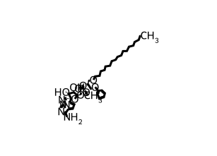 CCCCCCCCCCCCCCCCCCOC[C@@H](COc1ccccc1)OP(=O)(OC)O[C@H]1O[C@@](C#N)(c2ccc3c(N)ncnn23)[C@H](O)[C@@H]1O